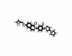 O=c1c2ccc(OCC3CCO3)cc2ccn1-c1ccc(N2CC[C@@H](N3CCCC3)C2)c(F)c1